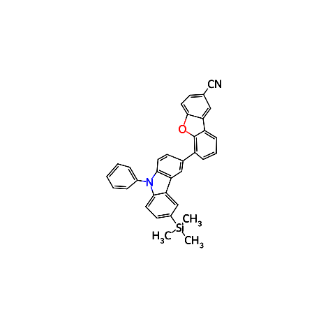 C[Si](C)(C)c1ccc2c(c1)c1cc(-c3cccc4c3oc3ccc(C#N)cc34)ccc1n2-c1ccccc1